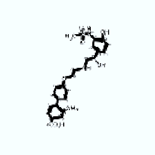 COc1cc(C(=O)O)ccc1-c1ccc(OCCNC[C@@H](O)c2ccc(O)c(NS(C)(=O)=O)c2)cc1